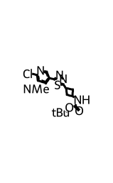 CNc1cc(Cl)ncc1-c1nnc(C2CC(NC(=O)OC(C)(C)C)C2)s1